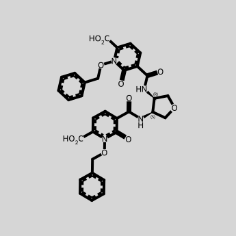 O=C(N[C@H]1COC[C@H]1NC(=O)c1ccc(C(=O)O)n(OCc2ccccc2)c1=O)c1ccc(C(=O)O)n(OCc2ccccc2)c1=O